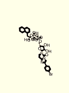 O=c1n([C@@H]2O[C@H](COP(=O)(O)OP(=O)(O)OP(=O)(O)Cc3cccc4ccccc34)[C@H](O)C2O)ccc2nc(-c3ccc(Br)cc3)cn12